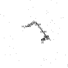 CN(CC(=O)NCCOCCOCCC(=O)NCCCCn1nc(-c2cnc3[nH]ccc3c2)c2c(N)ncnc21)CC(=O)N1CCN(c2ncc(CN)cn2)CC1